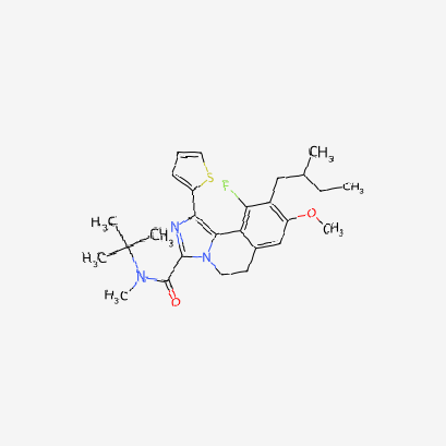 CCC(C)Cc1c(OC)cc2c(c1F)-c1c(-c3cccs3)nc(C(=O)N(C)C(C)(C)C)n1CC2